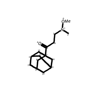 CON(C)CCC(=O)C12CC3CC(CC(C3)C1)C2